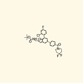 CC(C)(C)OC(=O)NCc1cc2cc(-c3ccc(C(=O)N4CCC(F)(F)CC4)cc3)cc(-c3ccc(F)cc3Cl)c2o1